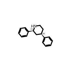 c1ccc([C@@H]2CCN[C@H](c3ccccc3)C2)cc1